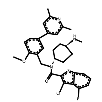 CN[C@H]1CC[C@H](N(Cc2cc(-c3cc(C)nc(C)c3)ccc2OC)C(=O)c2sc3cccc(F)c3c2Cl)CC1